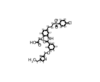 CCc1cnc(COc2cccc(C(=O)Nc3cc(CCCS(=O)(=O)c4ccc(Cl)cc4)ccc3OCC(=O)O)c2)s1